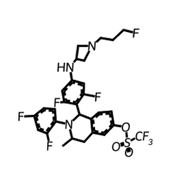 CC1Cc2cc(OS(=O)(=O)C(F)(F)F)ccc2C(c2c(F)cc(NC3CN(CCCF)C3)cc2F)N1c1ccc(F)cc1F